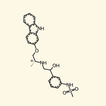 C[C@H](COc1ccc2c(c1)[nH]c1ccccc12)NCC(O)c1cccc(NS(C)(=O)=O)c1